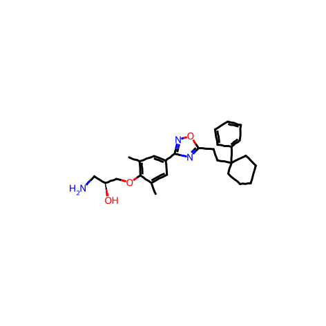 Cc1cc(-c2noc(CCC3(c4ccccc4)CCCCC3)n2)cc(C)c1OC[C@@H](O)CN